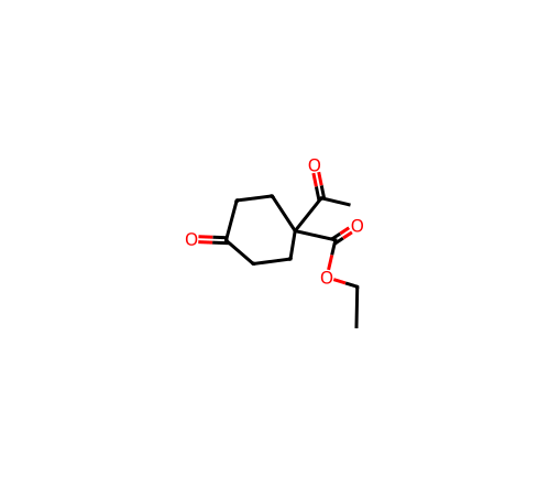 CCOC(=O)C1(C(C)=O)CCC(=O)CC1